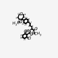 COC(=O)C(C/C=C/c1ccc(C2(OC)CCCOCC2)cc1)NC(=O)c1c(Cl)cccc1Cl